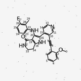 COc1ccccc1C#Cc1cnccc1-c1[nH]c2c(c1Nc1cccc(F)c1C)C(=O)NCC2